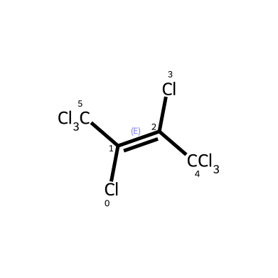 Cl/C(=C(/Cl)C(Cl)(Cl)Cl)C(Cl)(Cl)Cl